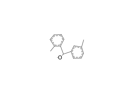 Cc1cccc(C([O])c2ccccc2C)c1